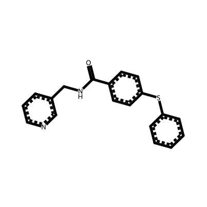 O=C(NCc1cccnc1)c1ccc(Sc2ccccc2)cc1